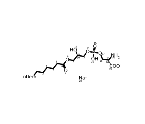 CCCCCCCCCCCCCCCC(=O)OC[C@@H](O)COP(=O)(O)OC[C@H](N)C(=O)[O-].[Na+]